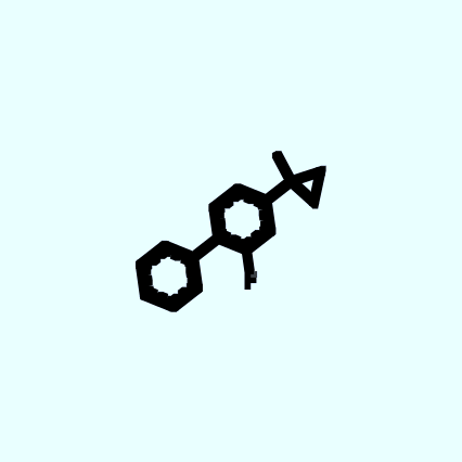 CC1(c2ccc(-c3ccccc3)c(F)c2)CC1